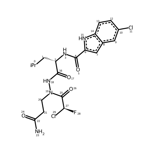 CC(C)C[C@H](NC(=O)c1cc2cc(Cl)ccc2[nH]1)C(=O)NN(CCC(N)=O)C(=O)[C@@H](F)Cl